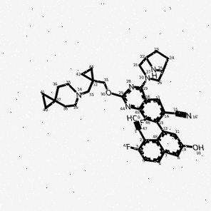 C#Cc1c(F)ccc2cc(O)cc(-c3c(C#N)cc4c(N5CC6CCC(C5)N6)nc(OCC5(CN6CCC7(CC6)CC7)CC5)nc4c3F)c12